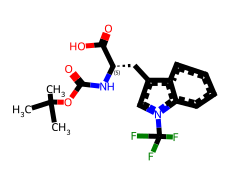 CC(C)(C)OC(=O)N[C@@H](Cc1cn(C(F)(F)F)c2ccccc12)C(=O)O